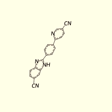 N#Cc1ccc(-c2ccc(-c3nc4ccc(C#N)cc4[nH]3)cc2)nc1